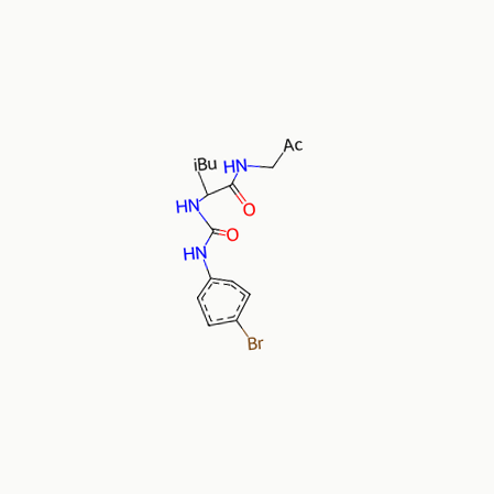 CCC(C)C(NC(=O)Nc1ccc(Br)cc1)C(=O)NCC(C)=O